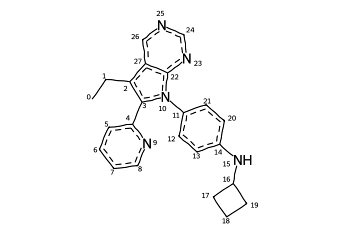 CCc1c(-c2ccccn2)n(-c2ccc(NC3CCC3)cc2)c2ncncc12